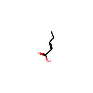 C[CH]C=CC(=O)O